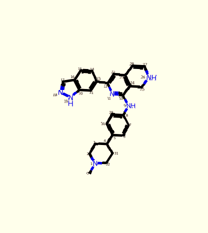 CN1CCC(c2ccc(Nc3nc(-c4ccc5cn[nH]c5c4)cc4c3CNC=C4)cc2)CC1